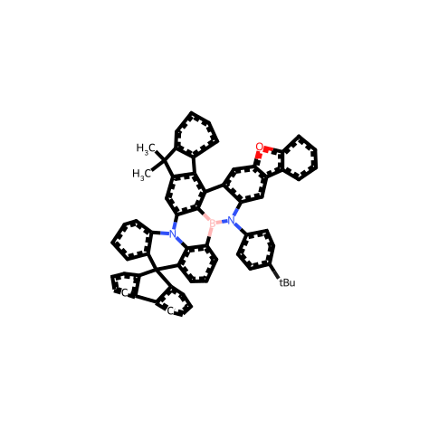 CC(C)(C)c1ccc(N2B3c4cccc5c4N(c4ccccc4C54c5ccccc5-c5ccccc54)c4cc5c(c(c43)-c3cc4oc6ccccc6c4cc32)-c2ccccc2C5(C)C)cc1